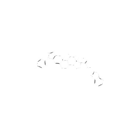 Cc1ccc(-n2ncc3c2C=C2CCC4C([C@@H](O)CC5(C)C4CC[C@]5(O)C(=O)CSc4nc5cccnc5s4)C2(C)C3)cc1